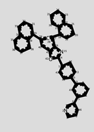 c1cncc(-c2cccc(-c3ccc(-c4nc5c(-c6cccc7ccccc67)cc(-c6cccc7ccccc67)cc5o4)cc3)c2)c1